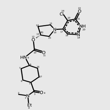 CCN(C)C(=O)C1CCC(NC(=O)O[C@@H]2CCN(c3cn[nH]c(=O)c3Cl)C2)CC1